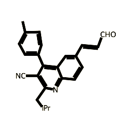 Cc1ccc(-c2c(C#N)c(CC(C)C)nc3ccc(C=CC=O)cc23)cc1